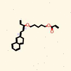 C=CC(=O)OCCCCCO/C(C=C)=C/C=C1/C=c2ccccc2=CC1